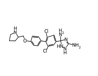 NC1=NC(N)(c2cc(Cl)c(-c3ccc(OCC4CCCN4)cc3)c(Cl)c2)NN1